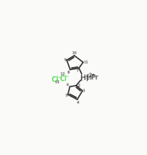 C[CH](C)[Hf+2]([C]1=CC=CC1)[C]1=CC=CC1.[Cl-].[Cl-]